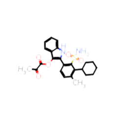 CC(=O)C(=O)Oc1c(-c2ccc(C)c(C3CCCCC3)c2S(N)(=O)=O)[nH]c2ccccc12